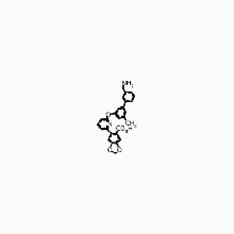 Cc1cc(Oc2cccc(-c3cc4c(cc3C(=O)O)OCO4)n2)cc(-c2cccc(CN)c2)c1